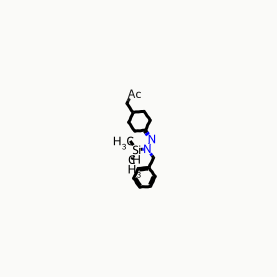 CC(=O)CC1CCC(=NN(Cc2ccccc2)[SiH](C)C)CC1